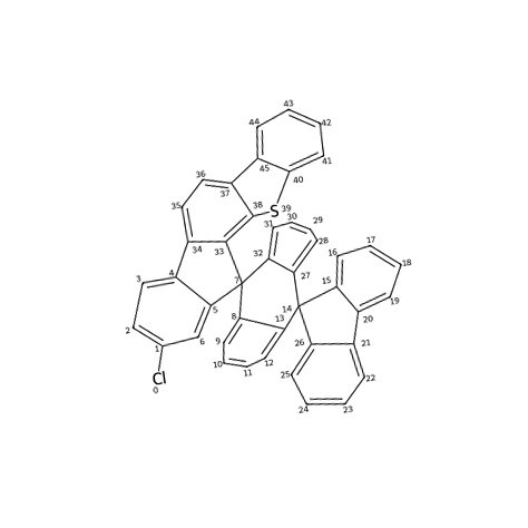 Clc1ccc2c(c1)C1(c3ccccc3C3(c4ccccc4-c4ccccc43)c3ccccc31)c1c-2ccc2c1sc1ccccc12